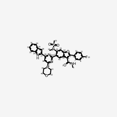 CNC(=O)c1c(-c2ccc(F)cc2)oc2cc(N(C)S(C)(=O)=O)c(-c3nc(-c4cc5ccccc5[nH]4)cc(N4CCOCC4)n3)cc12